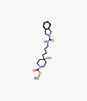 CC(C)(C)OC(=O)N1CCC(O)(CCCCNC(=O)N2Cc3ccccc3C2)CC1